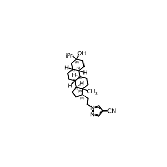 CC(C)[C@@]1(O)CC[C@H]2[C@H](CC[C@@H]3[C@@H]2CC[C@]2(C)[C@@H](CCn4cc(C#N)cn4)CC[C@@H]32)C1